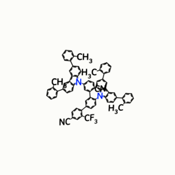 Cc1ccccc1-c1ccc2c(c1)c1cc(-c3ccccc3C)ccc1n2-c1ccc(C#N)c(-c2cc(-c3ccc(C#N)cc3C(F)(F)F)ccc2-n2c3ccc(-c4ccccc4C)cc3c3cc(-c4ccccc4C)ccc32)c1